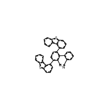 N#Cc1ccccc1-c1c(-c2cccc3sc4ccccc4c23)ccc(-c2cccc3sc4ccccc4c23)c1C#N